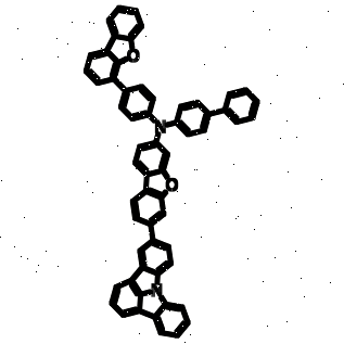 c1ccc(-c2ccc(N(c3ccc(-c4cccc5c4oc4ccccc45)cc3)c3ccc4c(c3)oc3cc(-c5ccc6c(c5)c5cccc7c8ccccc8n6c75)ccc34)cc2)cc1